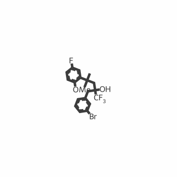 COc1ccc(F)cc1C(C)(C)CC(O)(Cc1cccc(Br)c1)C(F)(F)F